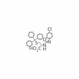 O=C(O)[C@H](CSC(c1ccccc1)(c1ccccc1)c1ccccc1)Nc1nc2ccc(Cl)cc2o1